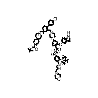 CC(C)(C)OC(=O)N1CCC2(CCN(C[C@]3(C)CCC(c4ccc(Cl)cc4)=C(CN4CCN(c5ccc(C(=O)NS(=O)(=O)c6ccc(NCCCN7CCOCC7)c(S(=O)(=O)C(F)(F)F)c6)c(Oc6cnc7[nH]ccc7c6)c5)CC4)C3)CC2)CC1